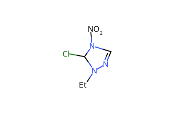 CCN1N=CN([N+](=O)[O-])C1Cl